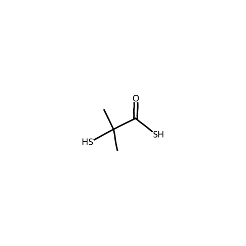 CC(C)(S)C(=O)S